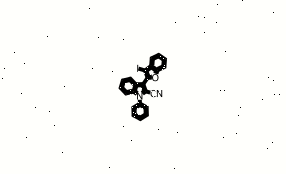 N#Cc1c(-c2oc3ccccc3c2I)c2ccccc2n1-c1ccccc1